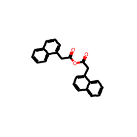 O=C(Cc1cccc2ccccc12)OC(=O)Cc1cccc2ccccc12